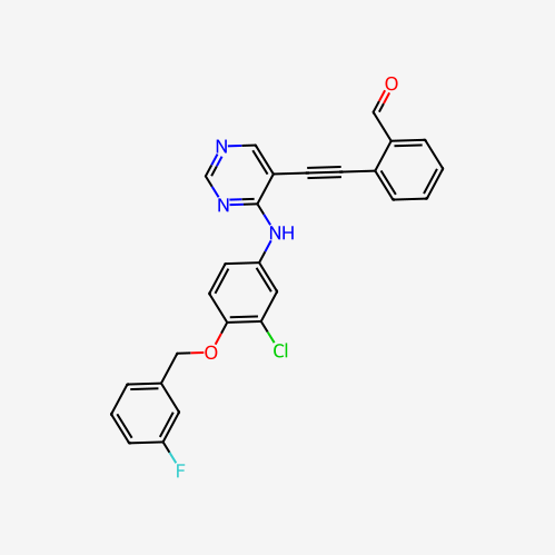 O=Cc1ccccc1C#Cc1cncnc1Nc1ccc(OCc2cccc(F)c2)c(Cl)c1